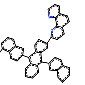 Cc1cccc2cc(-c3c4ccccc4c(-c4ccc5ccccc5c4)c4cc(-c5ccc6ccc7cccnc7c6n5)ccc34)ccc12